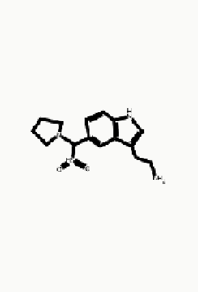 NCCc1c[nH]c2ccc(C(N3CCCC3)[SH](=O)=O)cc12